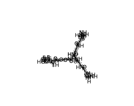 N=C1N[C@H]2[C@H](CS[C@H]2CCCCC(=O)NCCCCCC(=O)Nc2cc(NC(=O)CCCCCNC(=O)CCCC[C@@H]3SC[C@@H]4NC(=N)N[C@@H]43)cc(C(=O)NCCOCCOCCNC(=O)c3cccc(I)c3)c2)N1.O=C(O)C(F)(F)F.O=C(O)C(F)(F)F